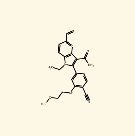 CCn1c(-c2cc(NCCOC)c(C#N)cn2)c(C(N)=O)c2nc(C=O)ccc21